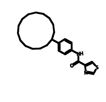 O=C(Nc1ccc(C2CCCCCCCCCCCCCC2)cc1)c1cscn1